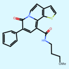 COCCCNC(=O)c1cc(-c2ccccc2)c(=O)n2ccc3ccsc3c12